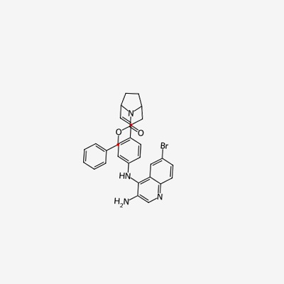 Nc1cnc2ccc(Br)cc2c1Nc1ccc(C2=CC3CCC(C2)N3C(=O)OCc2ccccc2)cc1